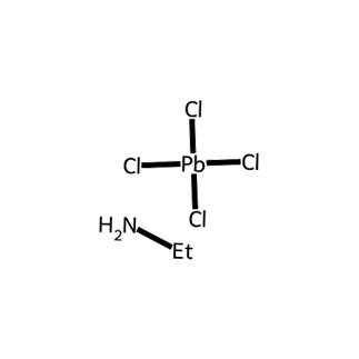 CCN.[Cl][Pb]([Cl])([Cl])[Cl]